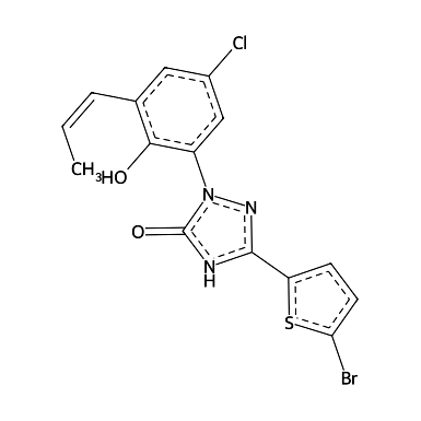 C/C=C\c1cc(Cl)cc(-n2nc(-c3ccc(Br)s3)[nH]c2=O)c1O